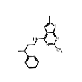 Cc1cc2c(NCCC(C)c3ccccc3)nc(C(F)(F)F)nc2s1